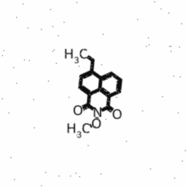 CCc1ccc2c3c(cccc13)C(=O)N(OC)C2=O